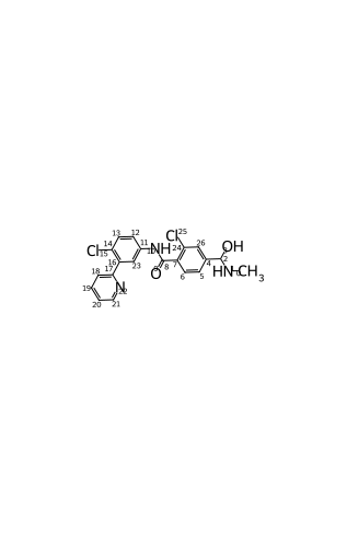 CNC(O)c1ccc(C(=O)Nc2ccc(Cl)c(-c3ccccn3)c2)c(Cl)c1